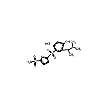 CC(c1cc(S(=O)(=O)c2ccc(S(N)(=O)=O)s2)ccc1O)N(C)C.Cl